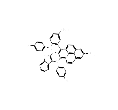 CC(C)(C)c1ccc(N2B3c4sc5ccccc5c4N(c4ccc(C(C)(C)C)cc4)c4c3c(c3ccc5cc(C(C)(C)C)cc6ccc4c3c56)-c3cc(C(C)(C)C)ccc32)cc1